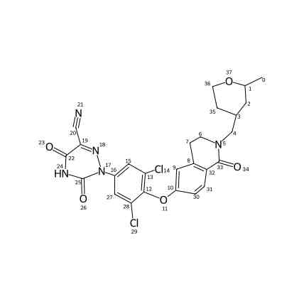 CC1CC(CN2CCc3cc(Oc4c(Cl)cc(-n5nc(C#N)c(=O)[nH]c5=O)cc4Cl)ccc3C2=O)CCO1